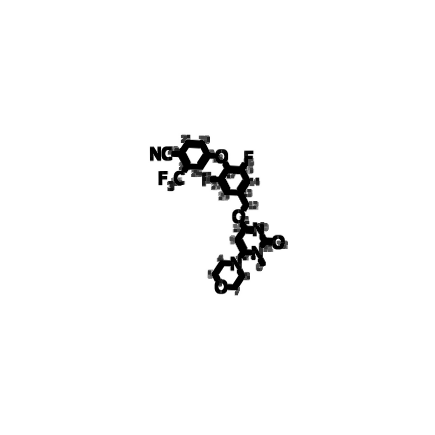 Cn1c(N2CCOCC2)cc(OCc2cc(F)c(Oc3ccc(C#N)c(C(F)(F)F)c3)c(F)c2)nc1=O